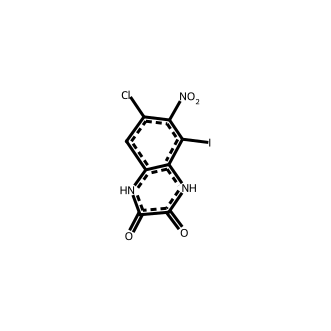 O=c1[nH]c2cc(Cl)c([N+](=O)[O-])c(I)c2[nH]c1=O